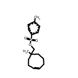 Cc1ccc(S(=O)(=O)OCC2(C)CCC=CCCC2)cc1